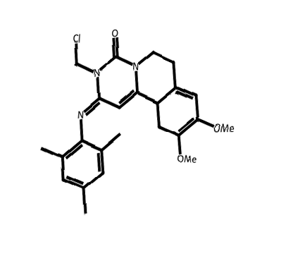 COC1=C(OC)CC2C(=C1)CCn1c2c/c(=N\c2c(C)cc(C)cc2C)n(CCl)c1=O